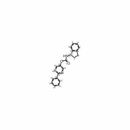 O=C(NN1CCc2ccccc21)Oc1cnc(-c2ccccc2)nc1